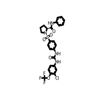 O=C(Nc1ccc(S(=O)(=O)N2CCC[C@H]2C(=O)Nc2ccccc2)cc1)Nc1ccc(OC(F)(F)F)c(Cl)c1